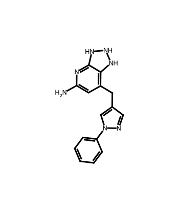 Nc1cc(Cc2cnn(-c3ccccc3)c2)c2c(n1)NNN2